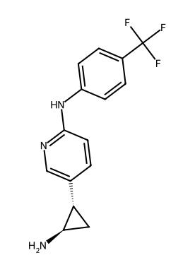 N[C@@H]1C[C@H]1c1ccc(Nc2ccc(C(F)(F)F)cc2)nc1